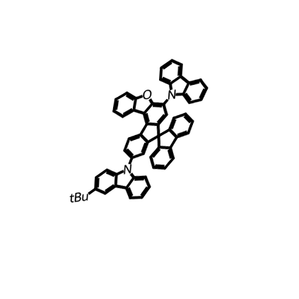 CC(C)(C)c1ccc2c(c1)c1ccccc1n2-c1ccc2c(c1)C1(c3ccccc3-c3ccccc31)c1cc(-n3c4ccccc4c4ccccc43)c3oc4ccccc4c3c1-2